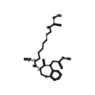 CCOC(=O)[C@H](CCCCCCCNC(=O)OC(C)(C)C)N[C@H]1CSc2ccccc2N(CC(=O)OC(C)(C)C)C1=O